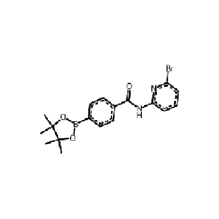 CC1(C)OB(c2ccc(C(=O)Nc3cccc(Br)n3)cc2)OC1(C)C